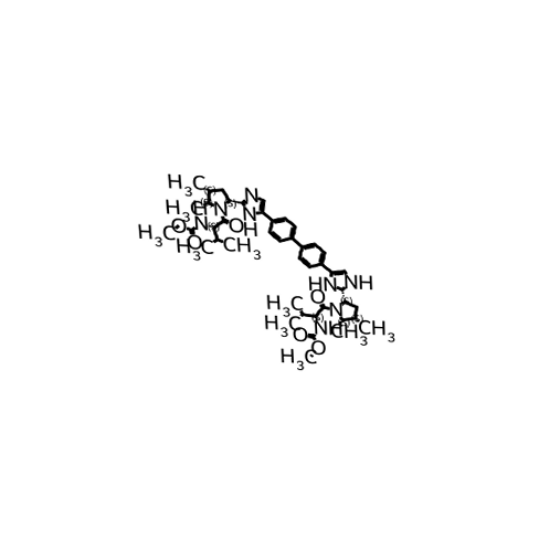 COC(=O)N[C@H](C(=O)N1[C@H](c2ncc(-c3ccc(-c4ccc(C5=CNC([C@@H]6C[C@H](C)[C@H](C)N6C(=O)[C@@H](NC(=O)OC)C(C)C)N5)cc4)cc3)[nH]2)C[C@H](C)[C@@H]1C)C(C)C